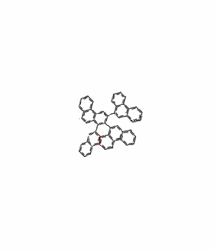 [c]1cc2c(-c3ccc4ccccc4c3)c(-c3cc4ccccc4c4ccccc34)c(-c3cc4ccccc4c4ccccc34)cc2c2ccccc12